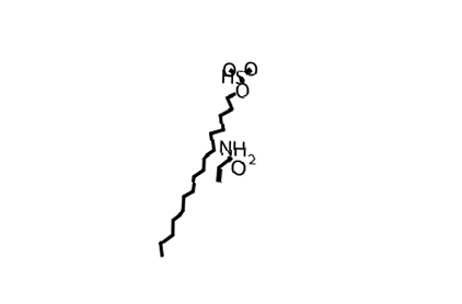 C=CC(N)=O.CCCCCCCCCCCCCCCCO[SH](=O)=O